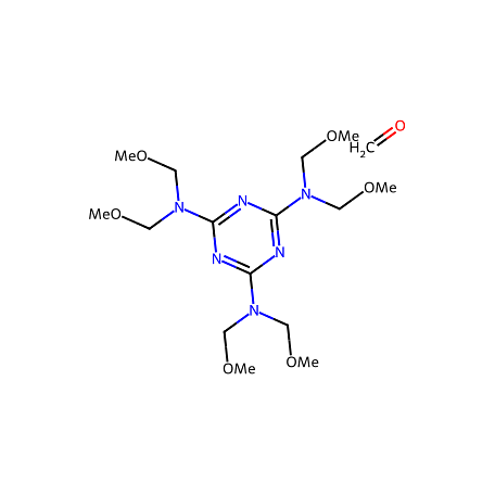 C=O.COCN(COC)c1nc(N(COC)COC)nc(N(COC)COC)n1